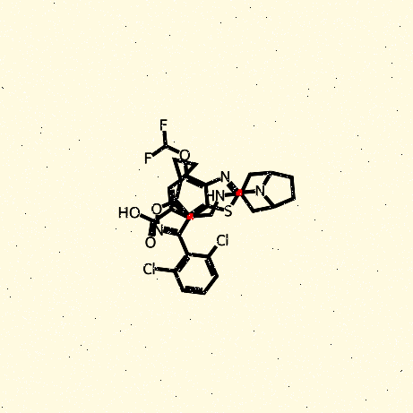 O=C(O)c1cc(OC(F)F)c2nc(N3C4CCC3CC(NCc3c(-c5c(Cl)cccc5Cl)noc3C3CC3)C4)sc2c1